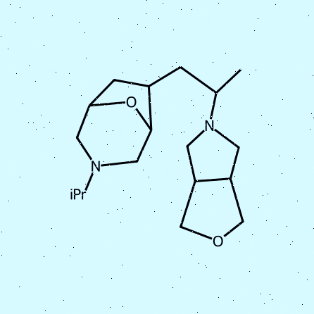 CC(C)N1CC2CC(CC(C)N3CC4COCC4C3)C(C1)O2